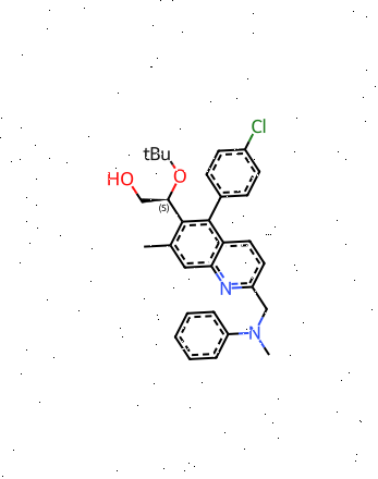 Cc1cc2nc(CN(C)c3ccccc3)ccc2c(-c2ccc(Cl)cc2)c1[C@@H](CO)OC(C)(C)C